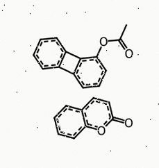 CC(=O)Oc1cccc2c1-c1ccccc1-2.O=c1ccc2ccccc2o1